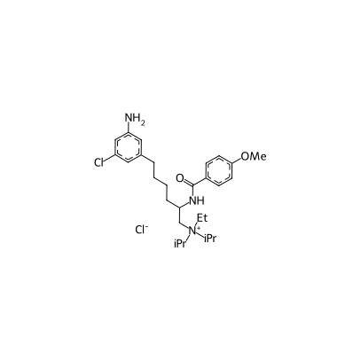 CC[N+](CC(CCCCc1cc(N)cc(Cl)c1)NC(=O)c1ccc(OC)cc1)(C(C)C)C(C)C.[Cl-]